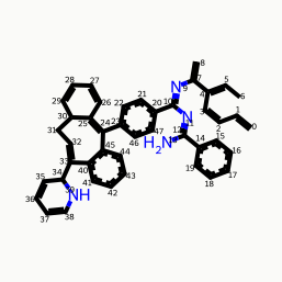 C=C/C=C\C(=C/C)C(=C)/N=C(\N=C(/N)c1ccccc1)c1ccc(/C2=C3\C=CC=CC3C/C=C(\C3C=CC=CN3)c3ccccc32)cc1